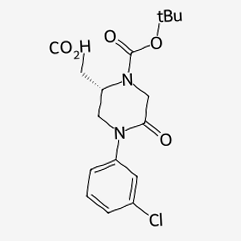 CC(C)(C)OC(=O)N1CC(=O)N(c2cccc(Cl)c2)C[C@@H]1CC(=O)O